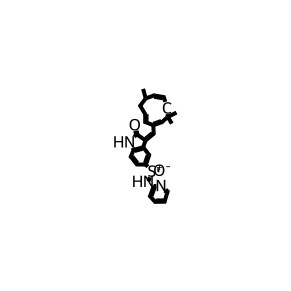 CC1/C=C\CC(C)(C)C=C(C=C2C(=O)Nc3ccc([S+]([O-])Nc4ccccn4)cc32)/C=C/C1